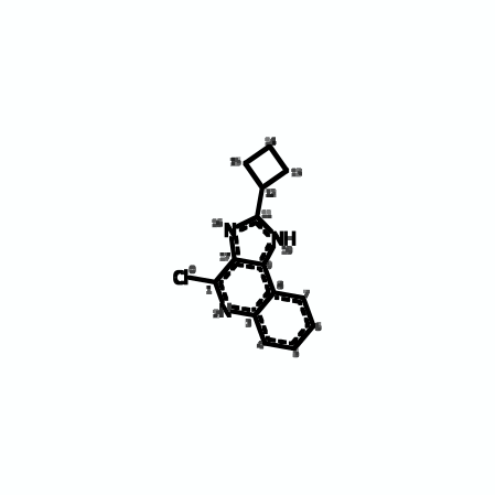 Clc1nc2ccccc2c2[nH]c(C3CCC3)nc12